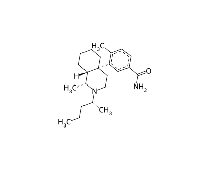 CCC[C@@H](C)N1CC[C@]2(c3cc(C(N)=O)ccc3C)CCCC[C@H]2[C@H]1C